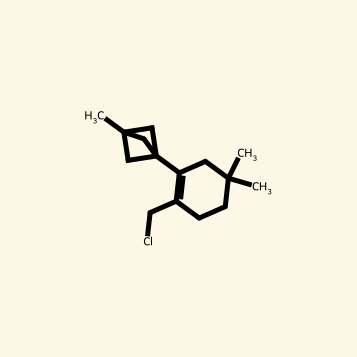 CC1(C)CCC(CCl)=C(C23CC(C)(C2)C3)C1